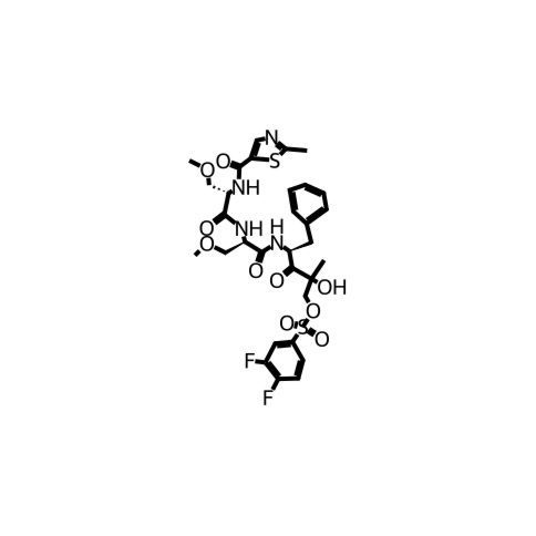 COC[C@H](NC(=O)c1cnc(C)s1)C(=O)N[C@H](COC)C(=O)N[C@@H](Cc1ccccc1)C(=O)C(C)(O)COS(=O)(=O)c1ccc(F)c(F)c1